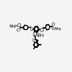 COC(=O)C1CCC(COc2ccc(OCC3CCC(C(=O)OC)CC3)c3c2NC(c2cc4c(C)cc(C)cc4o2)S3)CC1